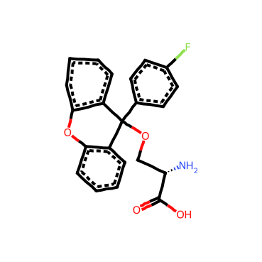 N[C@@H](COC1(c2ccc(F)cc2)c2ccccc2Oc2ccccc21)C(=O)O